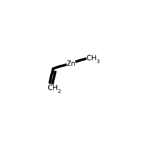 C=[CH][Zn][CH3]